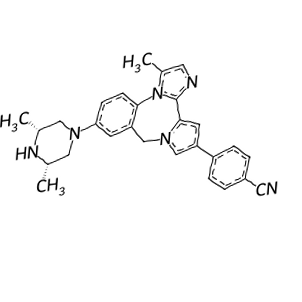 Cc1cnc2n1-c1ccc(N3C[C@@H](C)N[C@@H](C)C3)cc1Cn1cc(-c3ccc(C#N)cc3)cc1-2